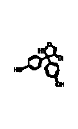 CCC1=CONC1(c1ccc(O)cc1)c1ccc(O)cc1